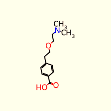 CN(C)CCOCCc1ccc(C(=O)O)cc1